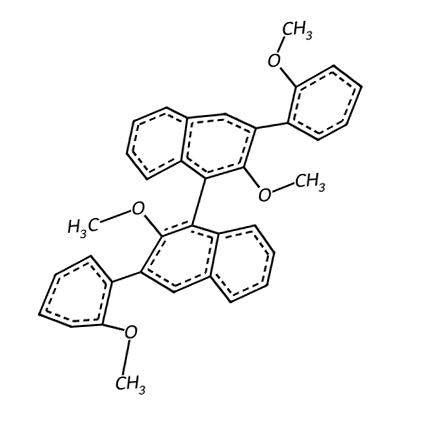 COc1ccccc1-c1cc2ccccc2c(-c2c(OC)c(-c3ccccc3OC)cc3ccccc23)c1OC